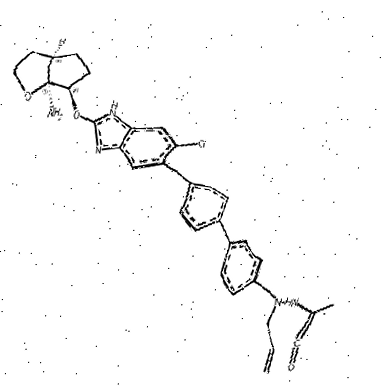 C=CCN(NC(C)=C=O)c1ccc(-c2ccc(-c3cc4nc(O[C@@H]5CC[C@@H]6CCO[C@@]65N)[nH]c4cc3Cl)cc2)cc1